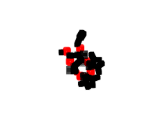 C#CCO[C@H]1[C@H](OC)O[C@@H]2CO[Si](C(C)C)(C(C)C)O[Si](C(C)C)(C(C)C)O[C@@H]12